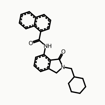 O=C(Nc1cccc2c1C(=O)N(CC1CCCCC1)C2)c1cccc2ccccc12